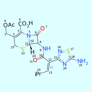 CC(=O)OCC1=C(C(=O)O)N2C(=O)C(NC(=O)/C(=C\C(C)C)c3nsc(N)n3)[C@@H]2SC1